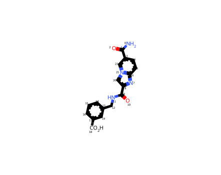 NC(=O)c1ccc2nc(C(=O)NCc3cccc(C(=O)O)c3)cn2c1